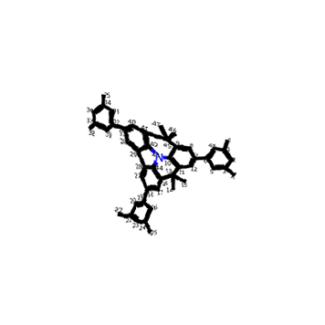 Cc1cc(C)cc(-c2cc3c4c(c2)C(C)(C)c2cc(-c5cc(C)cc(C)c5)cc5c6cc(-c7cc(C)cc(C)c7)cc(c6n-4c25)C3(C)C)c1